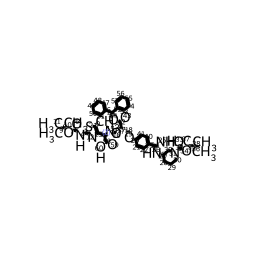 Cc1sc(NC(=O)OC(C)(C)C)nc1/C(=N/O[C@@H](COc1ccc(C(=N)N[C@H]2CCCN(C(=O)OC(C)(C)C)C2)cc1)C(=O)OC(c1ccccc1)c1ccccc1)C(=O)O